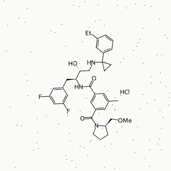 CCc1cccc(C2(NC[C@@H](O)[C@H](Cc3cc(F)cc(F)c3)NC(=O)c3cc(C)cc(C(=O)N4CCC[C@@H]4COC)c3)CC2)c1.Cl